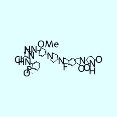 COc1cc(N2CCC(N(C)Cc3cc4c(cc3F)C(=O)N(C3CCC(=O)NC3=O)C4)CC2)ccc1Nc1ncc(Cl)c(Nc2ccccc2P(C)(C)=O)n1